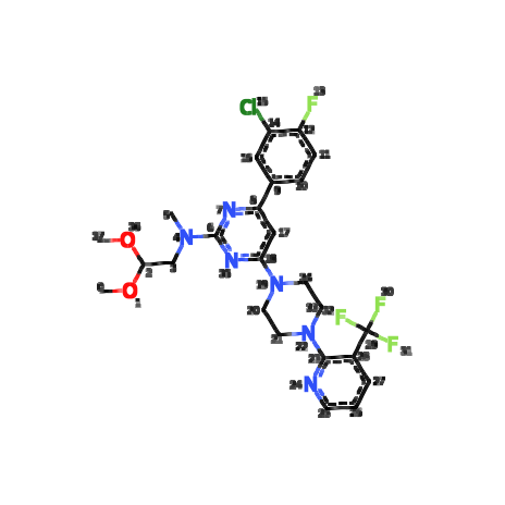 COC(CN(C)c1nc(-c2ccc(F)c(Cl)c2)cc(N2CCN(c3ncccc3C(F)(F)F)CC2)n1)OC